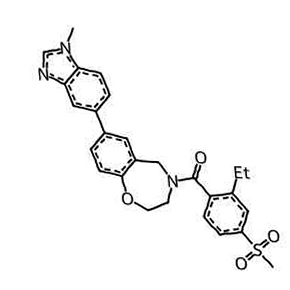 CCc1cc(S(C)(=O)=O)ccc1C(=O)N1CCOc2ccc(-c3ccc4c(c3)ncn4C)cc2C1